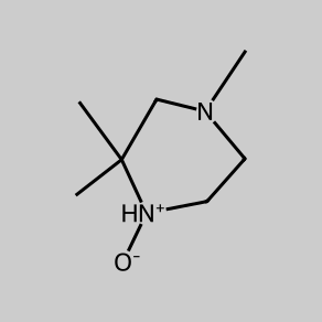 CN1CC[NH+]([O-])C(C)(C)C1